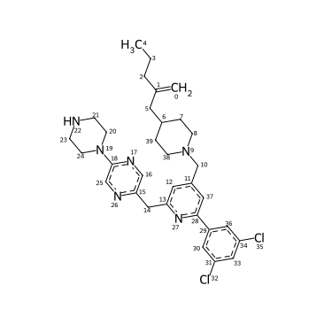 C=C(CCC)CC1CCN(Cc2cc(Cc3cnc(N4CCNCC4)cn3)nc(-c3cc(Cl)cc(Cl)c3)c2)CC1